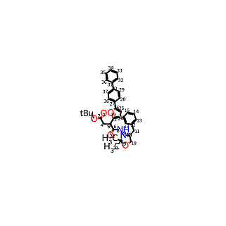 CC(C)(C)OC(=O)C[C@H](C(=O)NN1[C@@H](Cc2ccccc2)COC1(C)C)c1ccc(-c2ccc(-c3ccccc3)cc2)o1